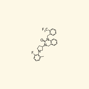 Cc1cccc(F)c1N1CC[C@@H](N2Cc3ccccc3N(Cc3ccccc3C(F)(F)F)C2=O)C1